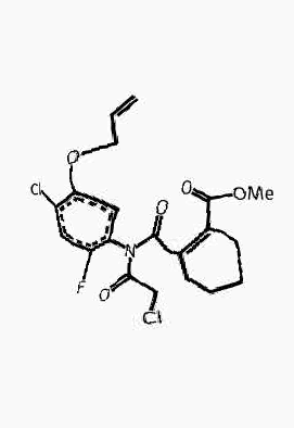 C=CCOc1cc(N(C(=O)CCl)C(=O)C2=C(C(=O)OC)CCCC2)c(F)cc1Cl